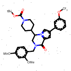 COc1ccc(CN2CC(C3CCN(C(=O)OC(C)(C)C)CC3)n3cc(-c4cccc(OC(F)(F)F)c4)cc3C2=O)c(OC)c1